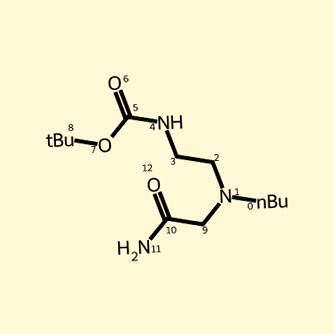 CCCCN(CCNC(=O)OC(C)(C)C)CC(N)=O